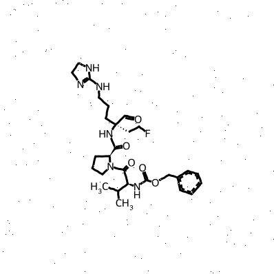 CC(C)[C@H](NC(=O)OCc1ccccc1)C(=O)N1CCC[C@H]1C(=O)N[C@@](C=O)(CCF)CCCNC1=NCCN1